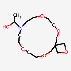 CC(O)N1CCOCCOCC2(COCCOCC1)COC2